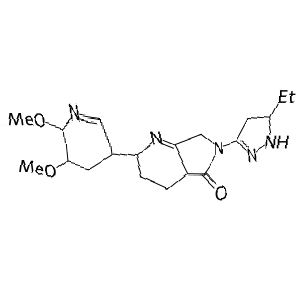 CCC1CC(N2CC3=NC(C4C=NC(OC)C(OC)C4)CCC3C2=O)=NN1